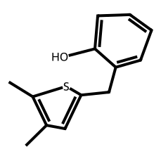 Cc1cc(Cc2ccccc2O)sc1C